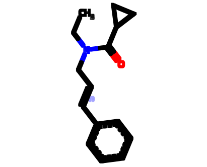 CCN(C/C=C/c1ccccc1)C(=O)C1CC1